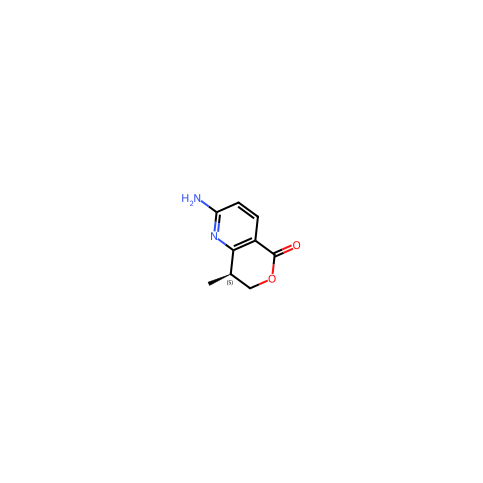 C[C@@H]1COC(=O)c2ccc(N)nc21